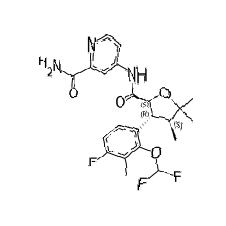 Cc1c(F)ccc([C@@H]2[C@@H](C(=O)Nc3ccnc(C(N)=O)c3)OC(C)(C)[C@H]2C)c1OC(F)F